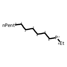 CCCCCCCCCCC[P]CC